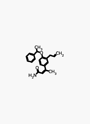 C=CCc1cc(/C(C)=C\C(N)=O)ccc1OC(C)c1ccccc1